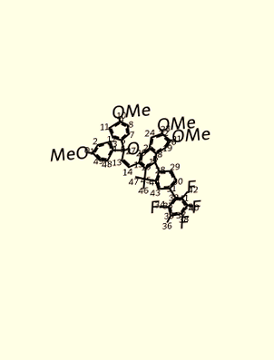 COc1ccc(C2(c3ccc(OC)cc3)C=Cc3c4c(c5cc(OC)c(OC)cc5c3O2)-c2ccc(-c3c(F)c(C)c(F)c(F)c3F)cc2C4(C)C)cc1